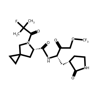 CC(C)(F)C(=O)N1CC2(CC2)C[C@H]1C(=O)N[C@@H](C[C@@H]1CCNC1=O)C(=O)COC(F)(F)F